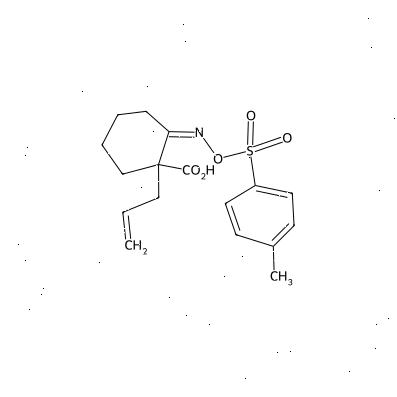 C=CCC1(C(=O)O)CCCCC1=NOS(=O)(=O)c1ccc(C)cc1